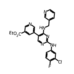 CCOC(=O)c1cncc(-c2cnc(Nc3ccc(F)c(Cl)c3)nc2NCc2cccnc2)c1